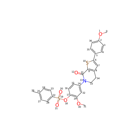 COc1ccc(-c2cc3c(s2)C(=O)N(c2ccc(OS(=O)(=O)c4ccc(C)cc4)c(OC)c2)CC3)cc1